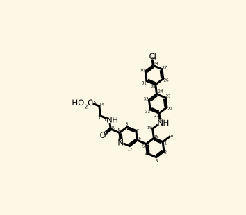 Cc1cccc(-c2ccc(C(=O)NCCC(=O)O)nc2)c1CNc1ccc(-c2ccc(Cl)cc2)cc1